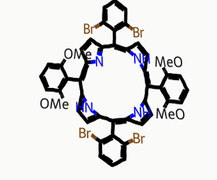 COc1cccc(OC)c1/C1=C2\C=CC(=N2)/C(c2c(Br)cccc2Br)=c2/cc/c([nH]2)=C(\c2c(OC)cccc2OC)C2C=C/C(=C(\c3c(Br)cccc3Br)c3ccc1[nH]3)N2